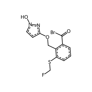 O=C(Br)c1cccc(SCF)c1COc1ccn(O)n1